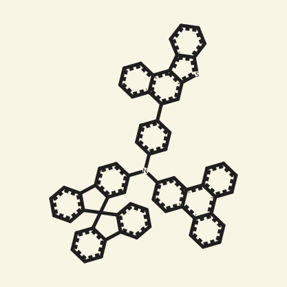 c1ccc2c(c1)-c1ccccc1C21c2ccccc2-c2ccc(N(c3ccc(-c4cc5sc6ccccc6c5c5ccccc45)cc3)c3ccc4c5ccccc5c5ccccc5c4c3)cc21